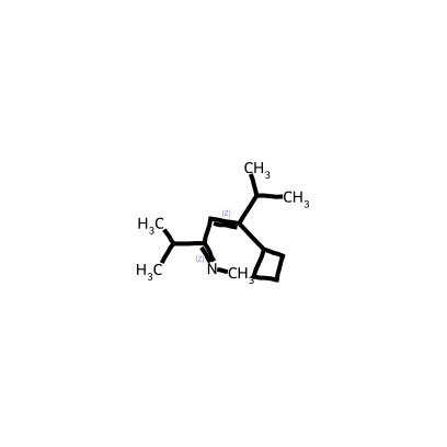 C/N=C(\C=C(\C(C)C)C1CCC1)C(C)C